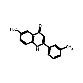 Cc1cccc(-c2cc(=O)c3cc(C)ccc3[nH]2)c1